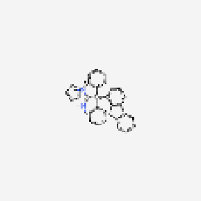 C[N](C)[Zr]([N](C)C)[Sn]([c]1ccccc1)([c]1ccccc1C1=CC=CC1)[c]1cccc2c1Cc1ccccc1-2